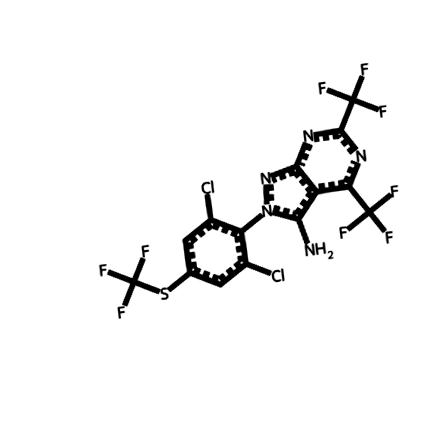 Nc1c2c(C(F)(F)F)nc(C(F)(F)F)nc2nn1-c1c(Cl)cc(SC(F)(F)F)cc1Cl